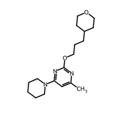 Cc1cc(N2CCCCC2)nc(OCCCC2CCOCC2)n1